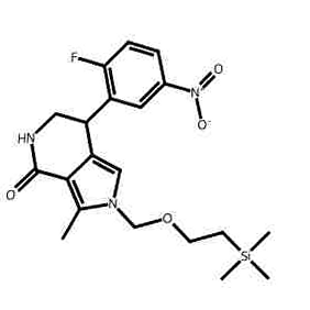 Cc1c2c(cn1COCC[Si](C)(C)C)C(c1cc([N+](=O)[O-])ccc1F)CNC2=O